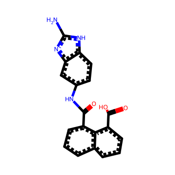 Nc1nc2cc(NC(=O)c3cccc4cccc(C(=O)O)c34)ccc2[nH]1